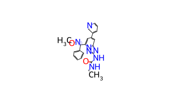 CCNC(=O)Nc1nc2cc(-c3cccnc3)cc(/C(=N/OC)c3ccccc3)n2n1